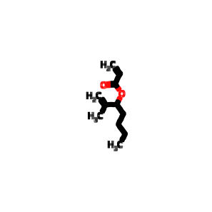 C=CC(=O)OC(CCCC)C(=C)C